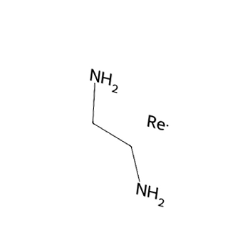 NCCN.[Re]